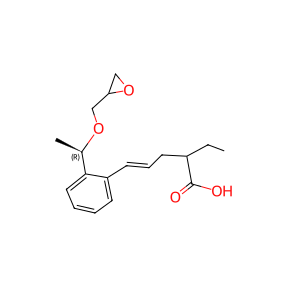 CCC(CC=Cc1ccccc1[C@@H](C)OCC1CO1)C(=O)O